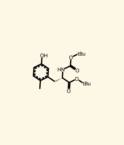 Cc1ccc(O)cc1C[C@H](NC(=O)OC(C)(C)C)C(=O)OC(C)(C)C